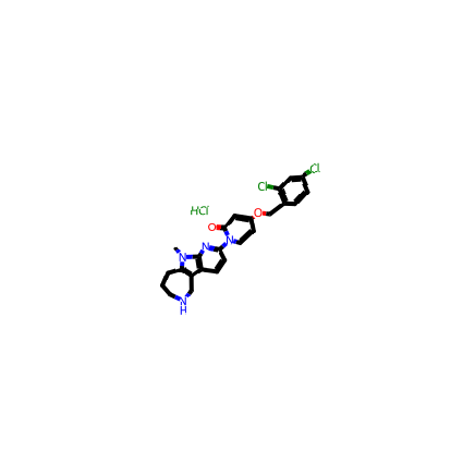 Cl.Cn1c2c(c3ccc(-n4ccc(OCc5ccc(Cl)cc5Cl)cc4=O)nc31)CNCCC2